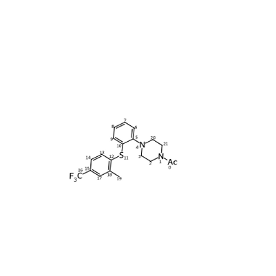 CC(=O)N1CCN(c2ccccc2Sc2ccc(C(F)(F)F)cc2C)CC1